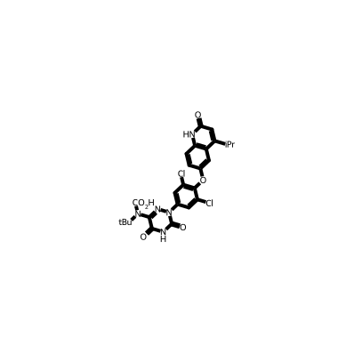 CC(C)c1cc(=O)[nH]c2ccc(Oc3c(Cl)cc(-n4nc(N(C(=O)O)C(C)(C)C)c(=O)[nH]c4=O)cc3Cl)cc12